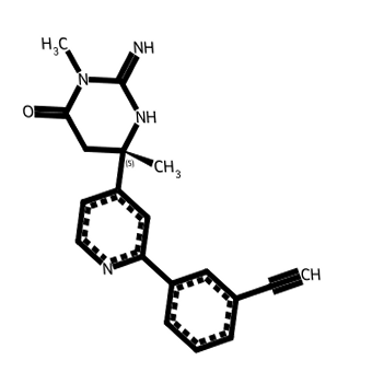 C#Cc1cccc(-c2cc([C@]3(C)CC(=O)N(C)C(=N)N3)ccn2)c1